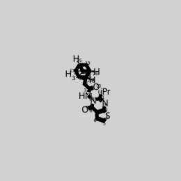 CC(C)c1nc2sccc2c(=O)n1NC(=O)C[C@@H]1CC[C@H]2C[C@H]1C2(C)C